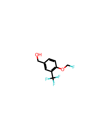 OCc1ccc(OCF)c(C(F)(F)F)c1